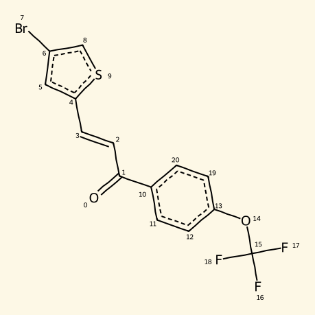 O=C(C=Cc1cc(Br)cs1)c1ccc(OC(F)(F)F)cc1